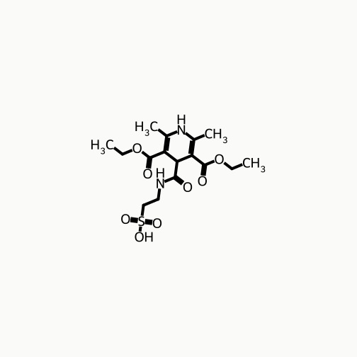 CCOC(=O)C1=C(C)NC(C)=C(C(=O)OCC)C1C(=O)NCCS(=O)(=O)O